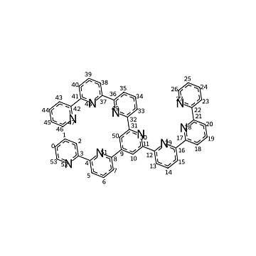 c1ccc(-c2cccc(-c3cc(-c4cccc(-c5cccc(-c6ccccn6)n5)n4)nc(-c4cccc(-c5cccc(-c6ccccn6)n5)n4)c3)n2)nc1